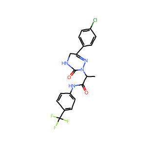 CC(C(=O)Nc1ccc(C(F)(F)F)cc1)N1N=C(c2ccc(Cl)cc2)CNC1=O